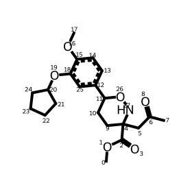 COC(=O)C1(CC(C)=O)CCC(c2ccc(OC)c(OC3CCCC3)c2)ON1